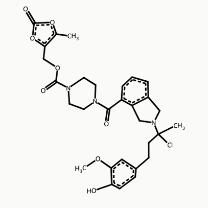 COc1cc(CCC(C)(Cl)N2Cc3cccc(C(=O)N4CCN(C(=O)OCc5oc(=O)oc5C)CC4)c3C2)ccc1O